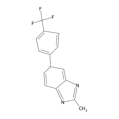 CC1=NC2=C[C](c3ccc(C(F)(F)F)cc3)C=CC2=N1